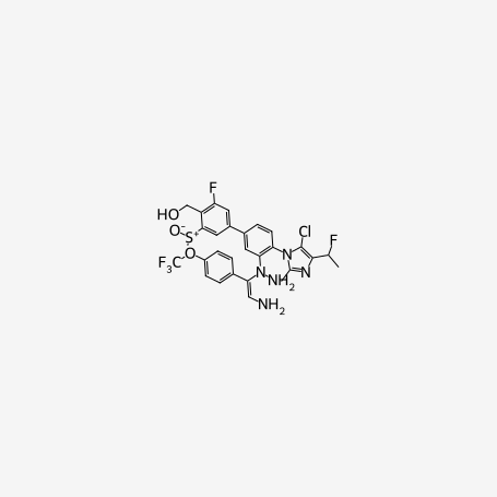 Cc1nc(C(C)F)c(Cl)n1-c1ccc(-c2cc(F)c(CO)c([S+](C)[O-])c2)cc1N(N)/C(=C\N)c1ccc(OC(F)(F)F)cc1